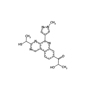 CC(O)C(=O)c1ccc2c(c1)nc(-c1cnn(C)c1)c1nc(C(C)S)ncc12